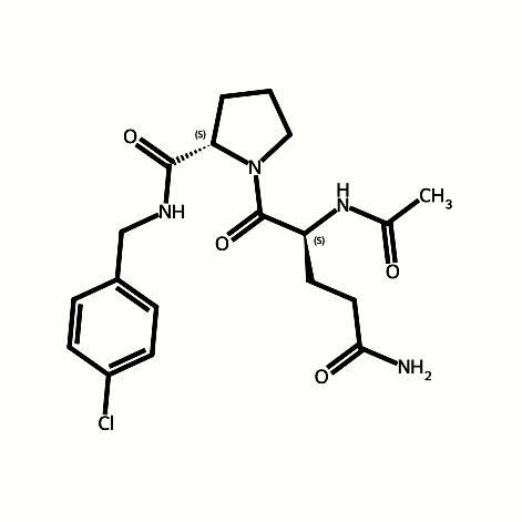 CC(=O)N[C@@H](CCC(N)=O)C(=O)N1CCC[C@H]1C(=O)NCc1ccc(Cl)cc1